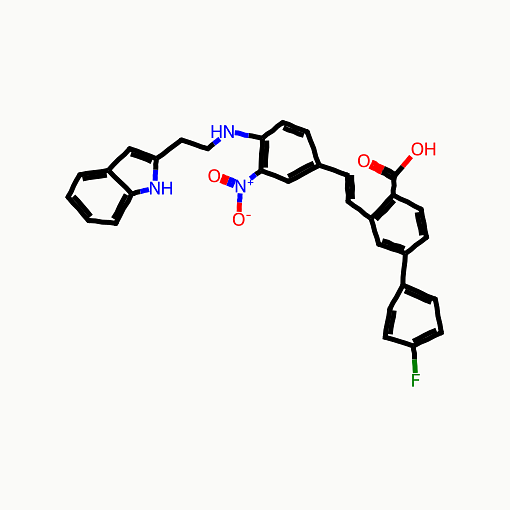 O=C(O)c1ccc(-c2ccc(F)cc2)cc1C=Cc1ccc(NCCc2cc3ccccc3[nH]2)c([N+](=O)[O-])c1